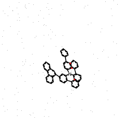 c1ccc(-c2ccc(N(c3ccccc3-c3ccccc3)c3cc(-c4cc5ccccc5c5ccccc45)ccc3-c3ccccc3)cc2)cc1